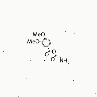 COc1ccc(C(=O)OC(=O)CN)cc1OC